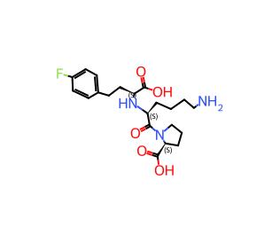 NCCCC[C@H](N[C@@H](CCc1ccc(F)cc1)C(=O)O)C(=O)N1CCC[C@H]1C(=O)O